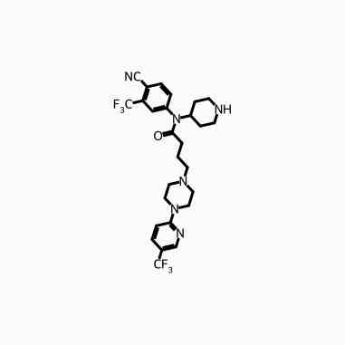 N#Cc1ccc(N(C(=O)CCCN2CCN(c3ccc(C(F)(F)F)cn3)CC2)C2CCNCC2)cc1C(F)(F)F